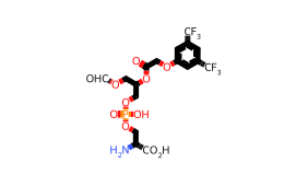 NC(COP(=O)(O)OCC(COC=O)OC(=O)COc1cc(C(F)(F)F)cc(C(F)(F)F)c1)C(=O)O